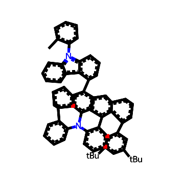 Cc1ccccc1-n1c2ccccc2c2c(-c3ccc(N(c4ccccc4-c4ccccc4)c4ccccc4-c4cccc5cccc(-c6cc(C(C)(C)C)cc(C(C)(C)C)c6)c45)cc3)cccc21